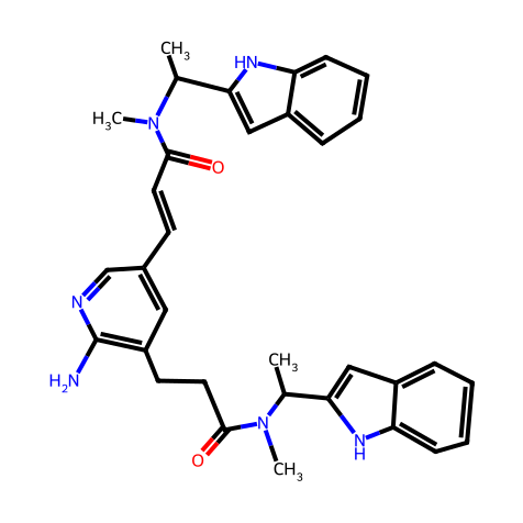 CC(c1cc2ccccc2[nH]1)N(C)C(=O)/C=C/c1cnc(N)c(CCC(=O)N(C)C(C)c2cc3ccccc3[nH]2)c1